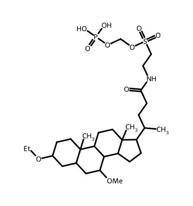 CCOC1CCC2(C)C(C1)CC(OC)C1C2CCC2(C)C(C(C)CCC(=O)NCCS(=O)(=O)OCOP(=O)(O)O)CCC12